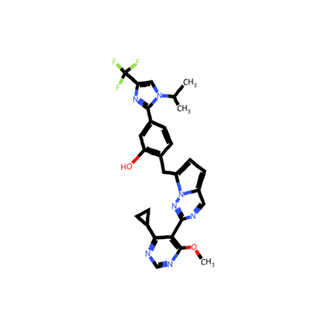 COc1ncnc(C2CC2)c1-c1ncc2ccc(Cc3ccc(-c4nc(C(F)(F)F)cn4C(C)C)cc3O)n2n1